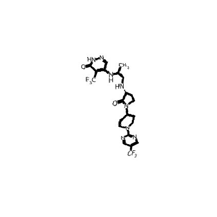 CC(CN[C@@H]1CCN(C2CCN(c3ncc(C(F)(F)F)cn3)CC2)C1=O)Nc1cn[nH]c(=O)c1C(F)(F)F